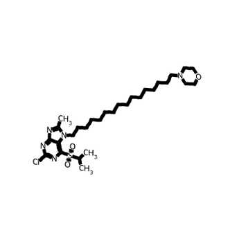 Cc1nc2nc(Cl)nc(S(=O)(=O)C(C)C)c2n1CCCCCCCCCCCCCCCCN1CCOCC1